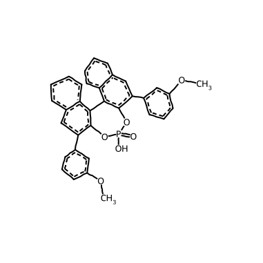 COc1cccc(-c2cc3ccccc3c3c2OP(=O)(O)Oc2c(-c4cccc(OC)c4)cc4ccccc4c2-3)c1